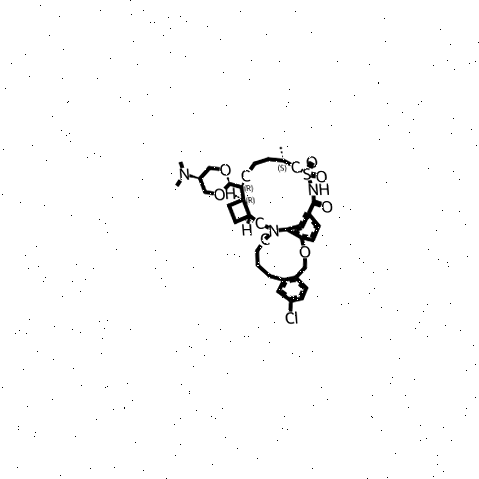 C[C@H]1CCC[C@@H]([C@H]2OC[C@H](N(C)C)CO2)[C@@H]2CC[C@H]2CN2CCCCc3cc(Cl)ccc3COc3ccc(cc32)C(=O)NS(=O)(=O)C1